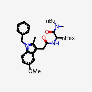 CCCCCCC(NC(=O)Cc1c(C)n(Cc2ccccc2)c2ccc(OC)cc12)C(=O)N(C)CCCC